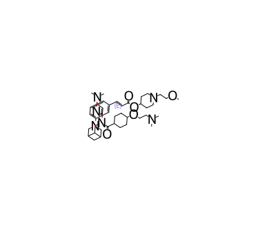 COCCN1CCC(OC(=O)/C=C/c2ccnc(N(CC3C4CC3CN(c3ccc(N(C)C)cc3)C4)C(=O)C3CCC(OCCN(C)C)CC3)c2)CC1